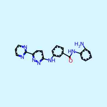 Nc1ccccc1NC(=O)c1cccc(Nc2ccc(-c3ncccn3)nn2)c1